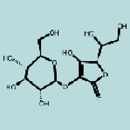 O=C1O[C@H](C(O)CO)C(O)=C1O[C@@H]1O[C@H](CO)[C@@H](O)[C@H](O)[C@H]1O